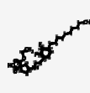 CCCCCCCCCCc1ccc(CCNC2CCC(C(=O)O)(C(=O)OCC)C2)c(F)c1F